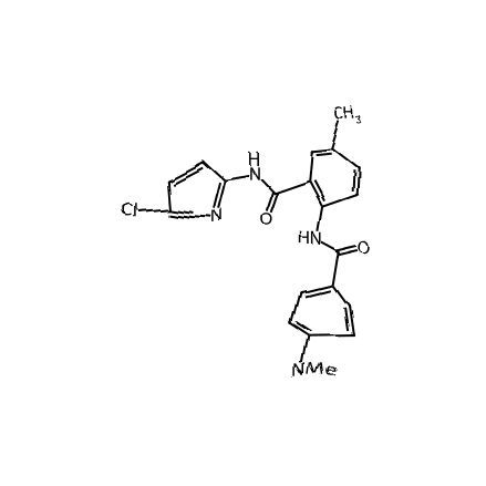 CNc1ccc(C(=O)Nc2ccc(C)cc2C(=O)Nc2ccc(Cl)cn2)cc1